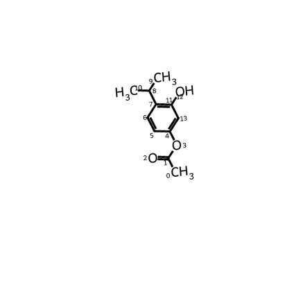 CC(=O)Oc1ccc(C(C)C)c(O)c1